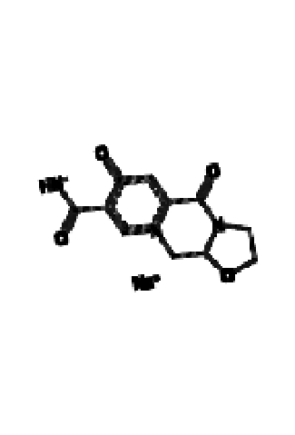 [NH-]C(=O)c1cn2c(cc1=O)C(=O)N1CCOC1C2.[Na+]